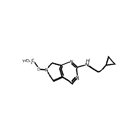 O=C(O)ON1Cc2cnc(NCC3CC3)nc2C1